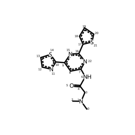 CN(C)CC(=O)Nc1cc(-c2nccs2)nc(-c2cccs2)n1